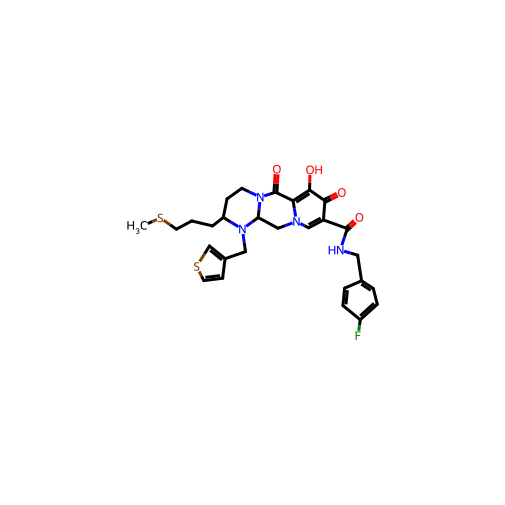 CSCCCC1CCN2C(=O)c3c(O)c(=O)c(C(=O)NCc4ccc(F)cc4)cn3CC2N1Cc1ccsc1